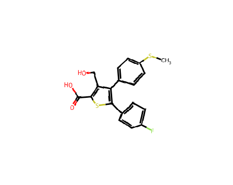 CSc1ccc(-c2c(-c3ccc(F)cc3)sc(C(=O)O)c2CO)cc1